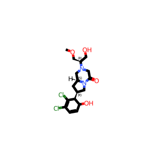 COC[C@@H](CO)N1CC(=O)N2C[C@@H](C3C(Cl)=C(Cl)C=CC3O)C[C@H]2C1